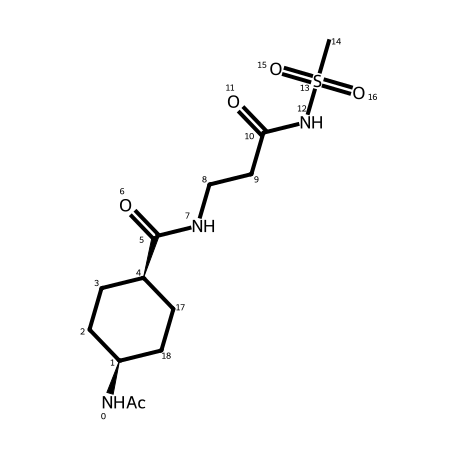 CC(=O)N[C@H]1CC[C@@H](C(=O)NCCC(=O)NS(C)(=O)=O)CC1